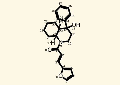 O=C(C=Cc1ccco1)N1CCC(O)(c2ccccc2)[C@H]2CCCC[C@H]21